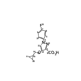 O=C(O)c1nn(-c2ccc(F)cc2)cc1OCC1CC1